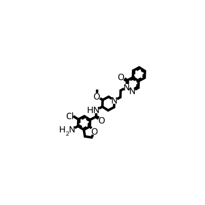 COC1CN(CCn2ncc3ccccc3c2=O)CCC1NC(=O)c1cc(Cl)c(N)c2c1OCC2